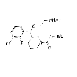 CC(=O)NCCOC(c1cccc(Cl)c1F)C1CCCN(C(=O)OC(C)(C)C)C1